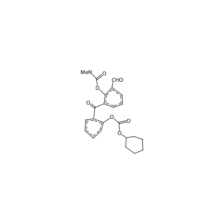 CNC(=O)Oc1c([C]=O)cccc1C(=O)c1ccccc1OC(=O)OC1CCCCC1